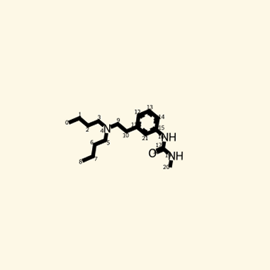 CCCCN(CCCC)CCc1cccc(NC(=O)NC)c1